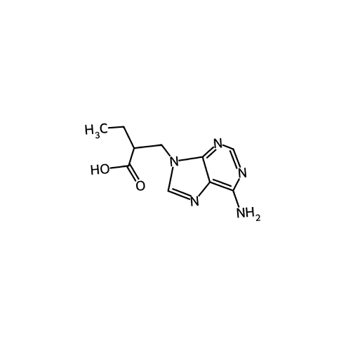 CCC(Cn1cnc2c(N)ncnc21)C(=O)O